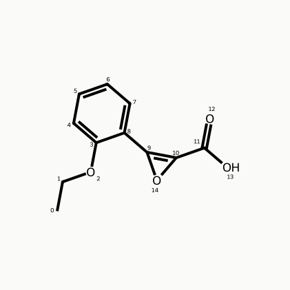 CCOc1ccccc1C1=C(C(=O)O)O1